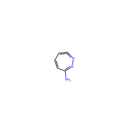 NC1=NN=C=CC=C1